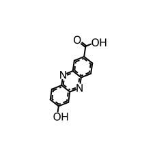 O=C(O)c1ccc2nc3cc(O)ccc3nc2c1